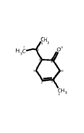 CC1=CCC(C(C)C)C(=O)C1